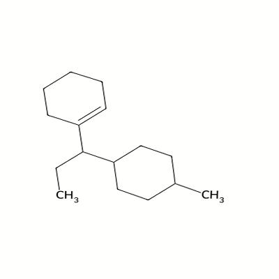 CCC(C1=CCCCC1)C1CCC(C)CC1